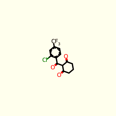 O=C1CCCC(=O)C1C(=O)c1ccc(C(F)(F)F)cc1Cl